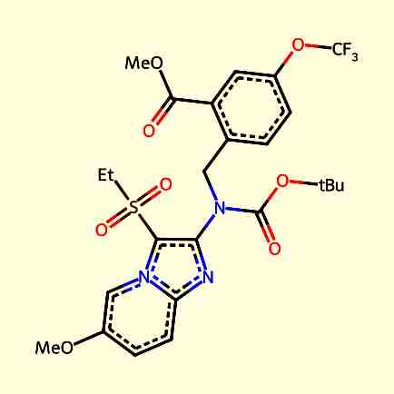 CCS(=O)(=O)c1c(N(Cc2ccc(OC(F)(F)F)cc2C(=O)OC)C(=O)OC(C)(C)C)nc2ccc(OC)cn12